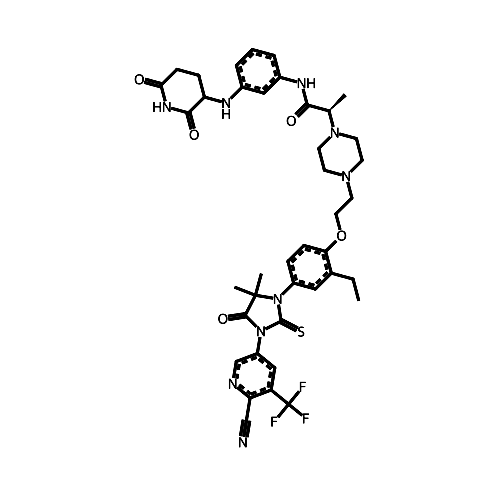 CCc1cc(N2C(=S)N(c3cnc(C#N)c(C(F)(F)F)c3)C(=O)C2(C)C)ccc1OCCN1CCN([C@H](C)C(=O)Nc2cccc(NC3CCC(=O)NC3=O)c2)CC1